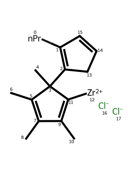 CCCC1=C(C2(C)C(C)=C(C)C(C)=[C]2[Zr+2])CC=C1.[Cl-].[Cl-]